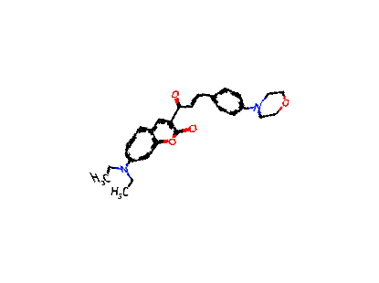 CCN(CC)c1ccc2cc(C(=O)C=Cc3ccc(N4CCOCC4)cc3)c(=O)oc2c1